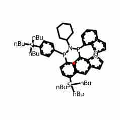 CCCC[Si](CCCC)(CCCC)c1ccc(P(c2ccc([Si](CCCC)(CCCC)CCCC)cc2)N(C2CCCCC2)P(c2cccc3ccoc23)c2cccc3ccoc23)cc1